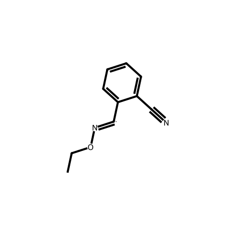 CCO/N=[C]/c1ccccc1C#N